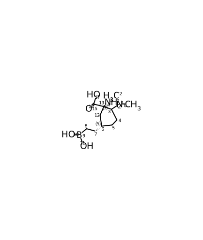 CN(C)C1CC[C@H](CCB(O)O)C[C@@]1(N)C(=O)O